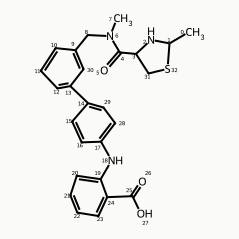 CC1NC(C(=O)N(C)Cc2cccc(-c3ccc(Nc4ccccc4C(=O)O)cc3)c2)CS1